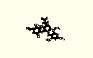 COc1nc(C)cc(C)c1Cn1cnc(C(F)(F)C(F)F)c(Oc2cc(Cl)cc(C#N)c2C)c1=O